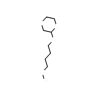 CCCCOCCCCOC1CSCC[N]1